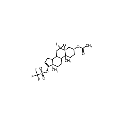 CC(=O)O[C@H]1CC[C@]2(C)C3CC[C@]4(C)C(OS(=O)(=O)C(F)(F)F)=CCC4C3C[C@@H]3O[C@@]32C1